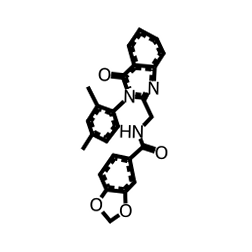 Cc1ccc(-n2c(CNC(=O)c3ccc4c(c3)OCO4)nc3ccccc3c2=O)c(C)c1